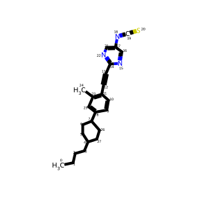 CCCCC1CCC(c2ccc(C#Cc3ncc(N=C=S)cn3)c(C)c2)CC1